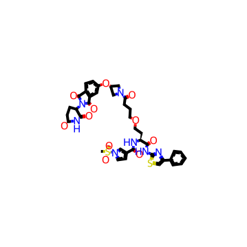 CS(=O)(=O)n1ccc(C(=O)N[C@@H](CCOCCCC(=O)N2CC(Oc3ccc4c(c3)C(=O)N(C3CCC(=O)NC3=O)C4=O)C2)C(=O)Nc2nc(-c3ccccc3)cs2)c1